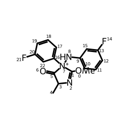 COC1=NC(C)C(=O)[N+]1(Nc1cccc(F)c1)c1cccc(F)c1